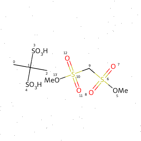 CC(C)(S(=O)(=O)O)S(=O)(=O)O.COS(=O)(=O)CS(=O)(=O)OC